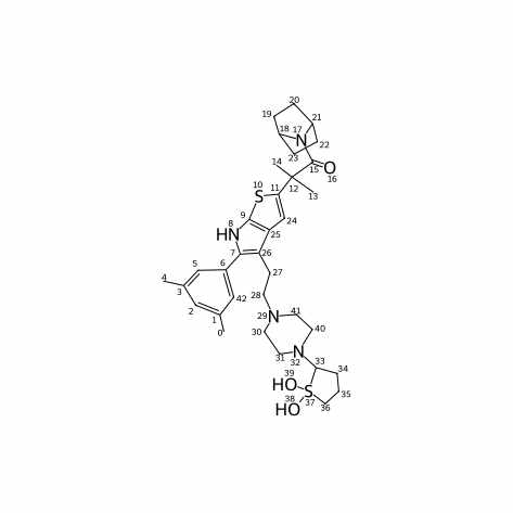 Cc1cc(C)cc(-c2[nH]c3sc(C(C)(C)C(=O)N4C5CCC4CC5)cc3c2CCN2CCN(C3CCCS3(O)O)CC2)c1